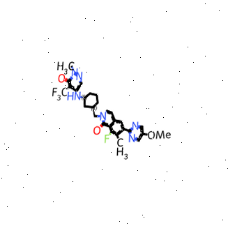 COc1cnc(-c2cc3ccn(C[C@@H]4CCC[C@H](Nc5cnn(C)c(=O)c5C(F)(F)F)C4)c(=O)c3c(F)c2C)nc1